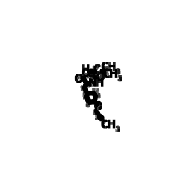 CC#CCOc1ccc(CC(NC(=O)OC(C)(C)C)C(=O)O)cc1